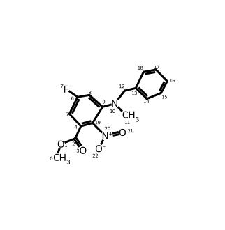 COC(=O)c1cc(F)cc(N(C)Cc2ccccc2)c1[N+](=O)[O-]